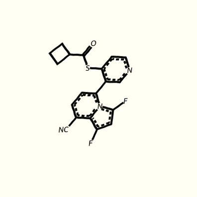 N#Cc1ccc(-c2cnccc2SC(=O)C2CCC2)n2c(F)cc(F)c12